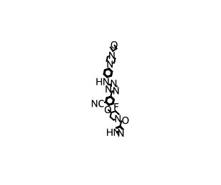 N#Cc1cc(-c2ncnc(Nc3ccc(N4CCN(C5COC5)CC4)cc3)n2)ccc1OC1CCN(C(=O)c2cn[nH]c2)CC1F